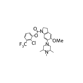 COc1cc2c(cc1N1CC(C)N(C)C(C)C1)N(C(=O)Oc1cccc(C(F)(F)F)c1Cl)CC2